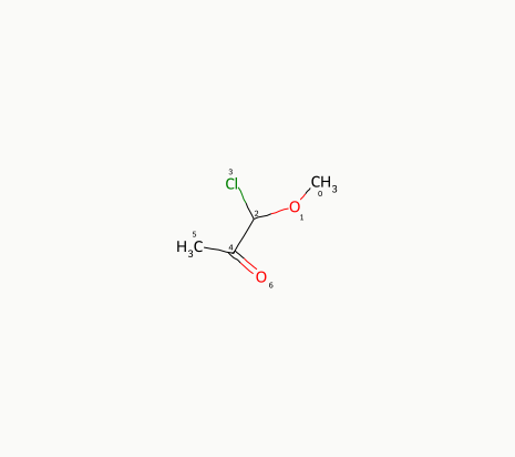 COC(Cl)C(C)=O